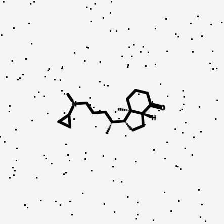 C[C@H](CCCN(C)C1CC1)[C@H]1CC[C@H]2C(=O)CCC[C@]12C